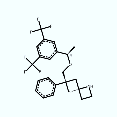 C[C@@H](OC[C@]1(c2ccccc2)C[C@]2(CCN2)C1)c1cc(C(F)(F)F)cc(C(F)(F)F)c1